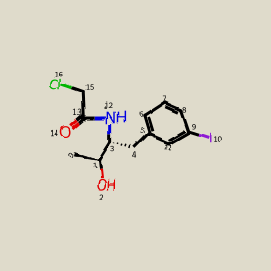 C[C@H](O)[C@@H](Cc1cccc(I)c1)NC(=O)CCl